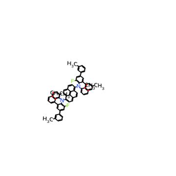 Cc1cccc(-c2cc(F)c(N(c3ccccc3C)c3ccc4ccc5c(N(c6ccccc6C)c6c(F)cc(-c7cccc(C)c7)cc6-c6cccc(C)c6)ccc6ccc3c4c65)c(-c3cccc(C)c3)c2)c1